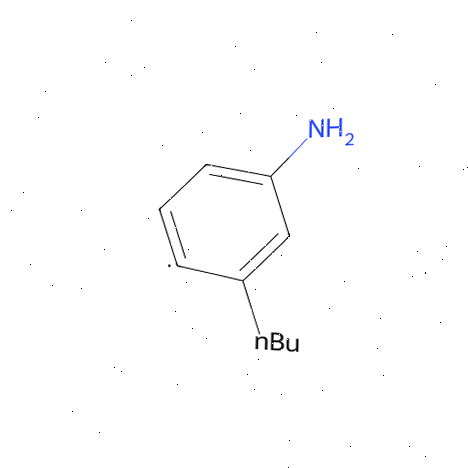 CCCCc1[c]ccc(N)c1